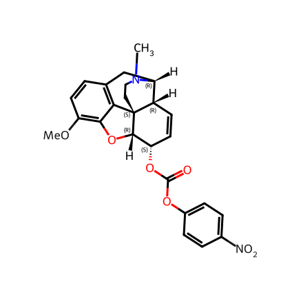 COc1ccc2c3c1O[C@H]1[C@@H](OC(=O)Oc4ccc([N+](=O)[O-])cc4)C=C[C@H]4[C@@H](C2)N(C)CC[C@@]341